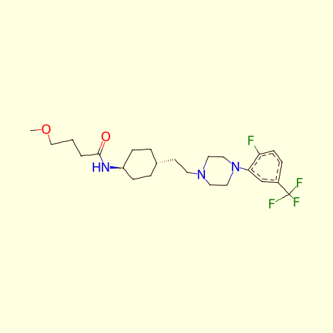 COCCCC(=O)N[C@H]1CC[C@H](CCN2CCN(c3cc(C(F)(F)F)ccc3F)CC2)CC1